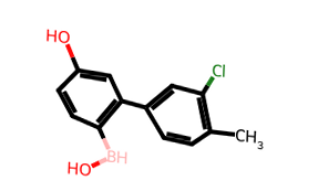 Cc1ccc(-c2cc(O)ccc2BO)cc1Cl